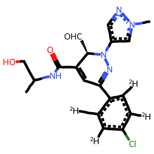 [2H]c1c([2H])c(C2=NN(c3cnn(C)c3)[C@H](C=O)C(C(=O)NC(C)CO)=C2)c([2H])c([2H])c1Cl